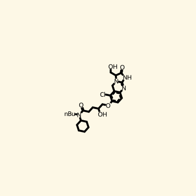 CCCCN(C(=O)CCC(O)COc1ccc2c(c1Cl)CN1C(=N2)NC(=O)C1CO)C1CCCCC1